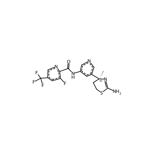 C[C@@]1(c2cncc(NC(=O)c3ncc(C(F)(F)F)cc3F)c2)CCSC(N)=N1